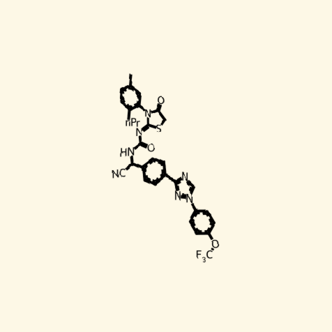 CCCc1ccc(C)cc1N1C(=O)CS/C1=N\C(=O)NC(C#N)c1ccc(-c2ncn(-c3ccc(OC(F)(F)F)cc3)n2)cc1